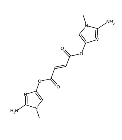 Cn1cc(OC(=O)/C=C/C(=O)Oc2cn(C)c(N)n2)nc1N